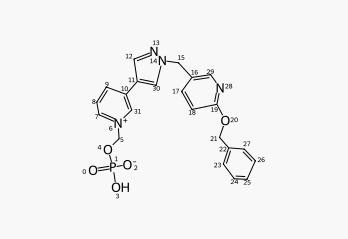 O=P([O-])(O)OC[n+]1cccc(-c2cnn(Cc3ccc(OCc4ccccc4)nc3)c2)c1